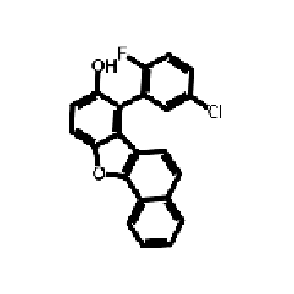 Oc1ccc2oc3c4ccccc4ccc3c2c1-c1cc(Cl)ccc1F